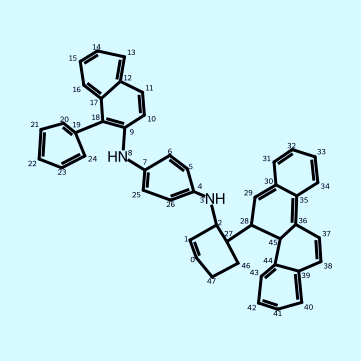 C1=CC(Nc2ccc(Nc3ccc4ccccc4c3-c3ccccc3)cc2)C(C2C=c3ccccc3=C3C=Cc4ccccc4C32)CC1